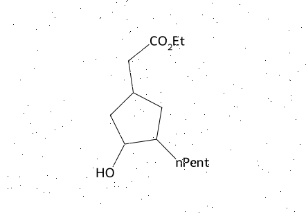 CCCCCC1CC(CC(=O)OCC)CC1O